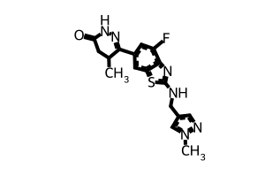 CC1CC(=O)NN=C1c1cc(F)c2nc(NCc3cnn(C)c3)sc2c1